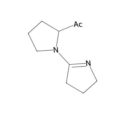 CC(=O)C1CCCN1C1=NCCC1